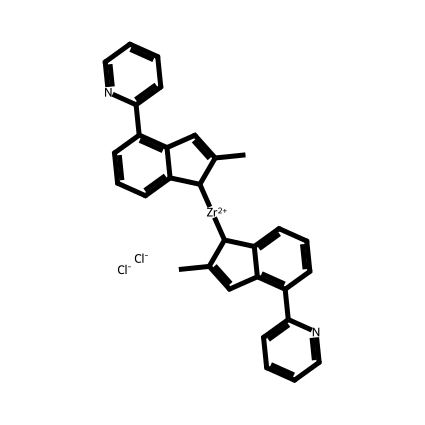 CC1=Cc2c(-c3ccccn3)cccc2[CH]1[Zr+2][CH]1C(C)=Cc2c(-c3ccccn3)cccc21.[Cl-].[Cl-]